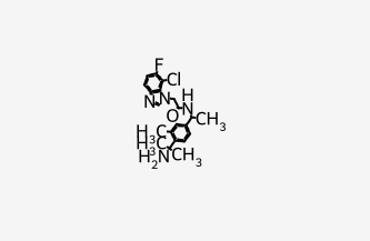 Cc1cc(C(C)NC(=O)Cn2cnc3ccc(F)c(Cl)c32)ccc1C(C)(C)N